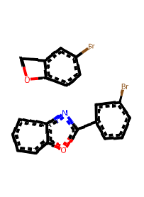 Brc1ccc2c(c1)CO2.Brc1cccc(-c2nc3ccccc3o2)c1